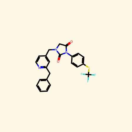 O=C1CN(Cc2ccnc(Cc3ccccc3)c2)C(=O)N1c1ccc(SC(F)(F)F)cc1